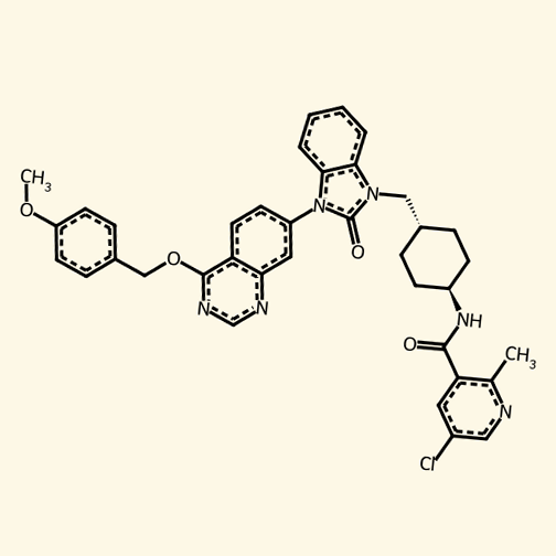 COc1ccc(COc2ncnc3cc(-n4c(=O)n(C[C@H]5CC[C@H](NC(=O)c6cc(Cl)cnc6C)CC5)c5ccccc54)ccc23)cc1